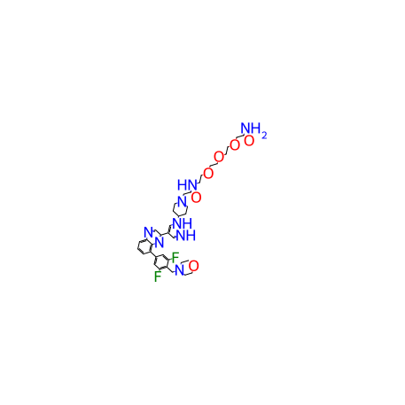 N=C/C(=C\NC1CCN(CC(=O)NCCOCCOCCOCC(N)=O)CC1)c1cnc2cccc(-c3cc(F)c(CN4CCOCC4)c(F)c3)c2n1